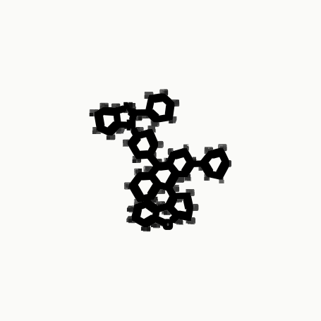 c1ccc(-c2ccc3c(-c4ccc(-n5c(-c6ccccc6)nc6ccccc65)cc4)c4ccccc4c(-c4cccc5oc6ccccc6c45)c3c2)cc1